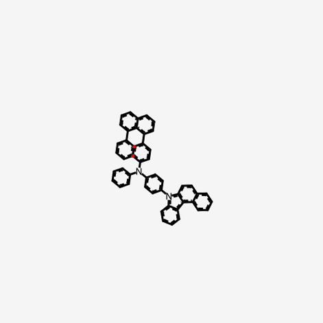 c1ccc(-c2cccc3cccc(-c4ccc(N(c5ccccc5)c5ccc(-n6c7ccccc7c7c8ccccc8ccc76)cc5)cc4)c23)cc1